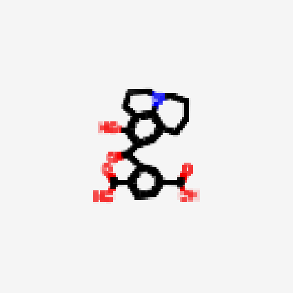 O=C(O)c1ccc(C(=O)O)c(C(=O)c2cc3c4c(c2O)CCCN4CCCC3)c1